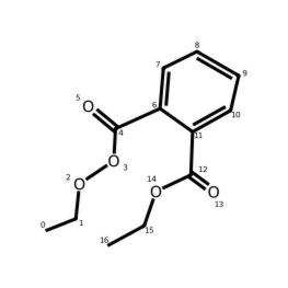 CCOOC(=O)c1ccccc1C(=O)OCC